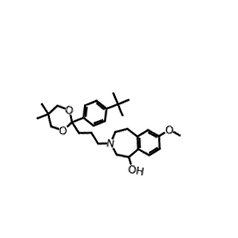 COc1ccc2c(c1)CCN(CCCC1(c3ccc(C(C)(C)C)cc3)OCC(C)(C)CO1)CC2O